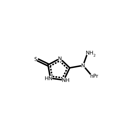 CCCN(N)c1nc(=S)[nH][nH]1